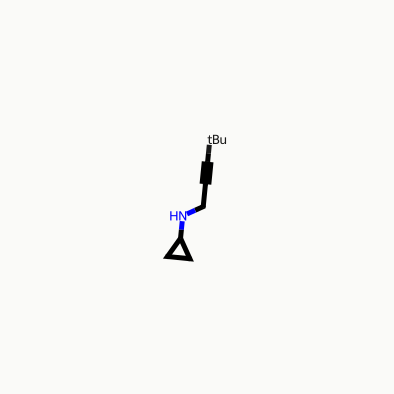 CC(C)(C)C#CCNC1CC1